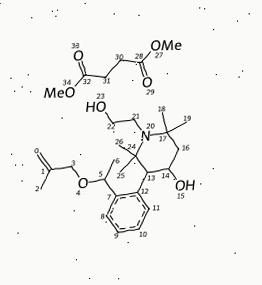 C=C(C)COC(C)c1ccccc1C1C(O)CC(C)(C)N(CCO)C1(C)C.COC(=O)CCC(=O)OC